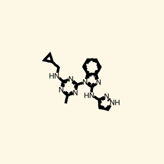 Cc1nc(NCC2CC2)nc(-n2c(Nc3cc[nH]n3)nc3ccccc32)n1